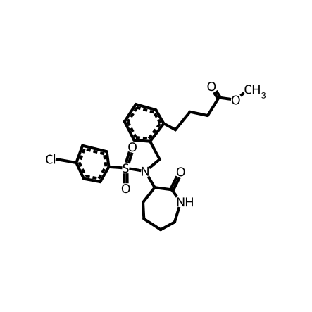 COC(=O)CCCc1ccccc1CN(C1CCCCNC1=O)S(=O)(=O)c1ccc(Cl)cc1